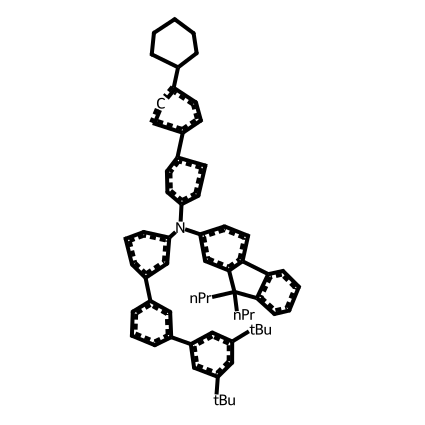 CCCC1(CCC)c2ccccc2-c2ccc(N(c3ccc(-c4ccc(C5CCCCC5)cc4)cc3)c3cccc(-c4cccc(-c5cc(C(C)(C)C)cc(C(C)(C)C)c5)c4)c3)cc21